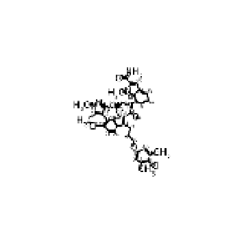 Cc1cc(OCCCc2c3n(c4c(-c5c(C)nn(C)c5C)c(Cl)ccc24)[C@H](C)CN(c2cccc4cc(C(N)=O)n(C)c24)C3=O)cc(C)c1Cl